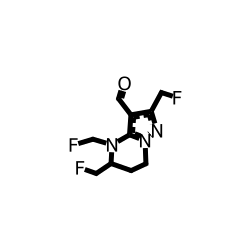 O=Cc1c(CF)nn2c1N(CF)C(CF)CC2